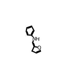 C1=CO/C(=C\Nc2ccccc2)C1